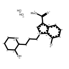 COC(=O)c1cn(CCCC2NCCCC2O)c2c(Cl)cccc12.Cl.Cl